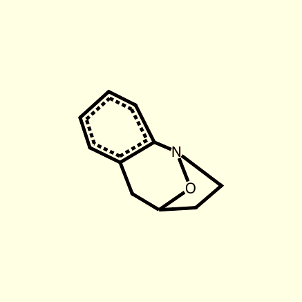 c1ccc2c(c1)CC1CCN2O1